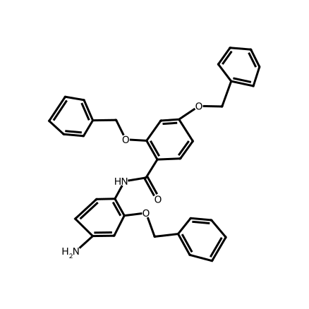 Nc1ccc(NC(=O)c2ccc(OCc3ccccc3)cc2OCc2ccccc2)c(OCc2ccccc2)c1